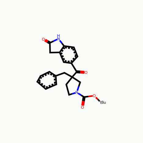 CC(C)(C)OC(=O)N1CCC(Cc2ccccc2)(C(=O)c2ccc3c(c2)CC(=O)N3)C1